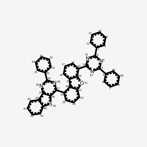 c1ccc(-c2nc(-c3ccccc3)nc(-c3cccc4c3oc3cccc(-c5nc(-c6ccccc6)nc6c5sc5ccccc56)c34)n2)cc1